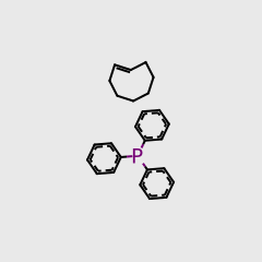 C1=C/CCCCCC/1.c1ccc(P(c2ccccc2)c2ccccc2)cc1